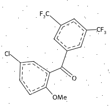 COc1ccc(Cl)cc1C(=O)c1cc(C(F)(F)F)cc(C(F)(F)F)c1